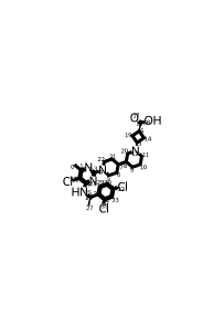 Cc1nc(N2CCC(C3CCCN([C@H]4C[C@H](C(=O)O)C4)C3)CC2)nc(N[C@H](C)c2ccc(Cl)cc2Cl)c1Cl